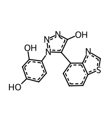 Oc1ccc(-n2nnc(O)c2-c2cccc3scnc23)c(O)c1